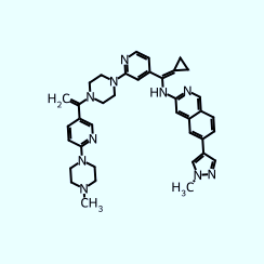 C=C(c1ccc(N2CCN(C)CC2)nc1)N1CCN(c2cc(C(Nc3cc4cc(-c5cnn(C)c5)ccc4cn3)=C3CC3)ccn2)CC1